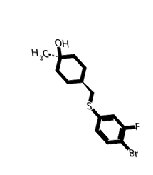 C[C@]1(O)CC[C@@H](CSc2ccc(Br)c(F)c2)CC1